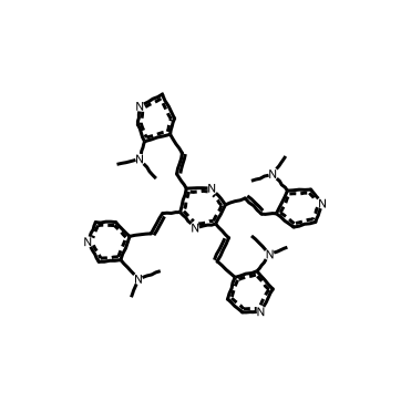 CN(C)c1cnccc1C=Cc1nc(C=Cc2ccncc2N(C)C)c(C=Cc2ccncc2N(C)C)nc1C=Cc1ccncc1N(C)C